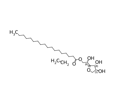 C=C.CCCCCCCCCCCCCCCCCC(=O)OC[C@@H](O)[C@H]1OC[C@H](O)[C@H]1O